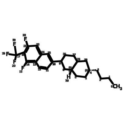 CCCC[C@@H]1CC[C@@H]2CC(c3ccc4c(F)c(C(F)(F)F)c(F)cc4c3)CCC2C1